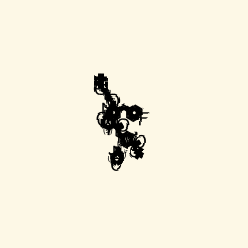 C[C@@H]1CN(CC(=O)N2c3cc(Cc4ccc(F)cc4)c(OCCO[Si](C)(C)C(C)(C)C)nc3OC[C@@H]2C)[C@@H](CN2[C@H](C)COC[C@H]2C)CN1C(=O)OC(C)(C)C